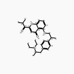 CCN(CC)C(C)Cc1ccc(C(C)COc2cccc3oc(C(=O)C(C)C)cc(=O)c23)cc1